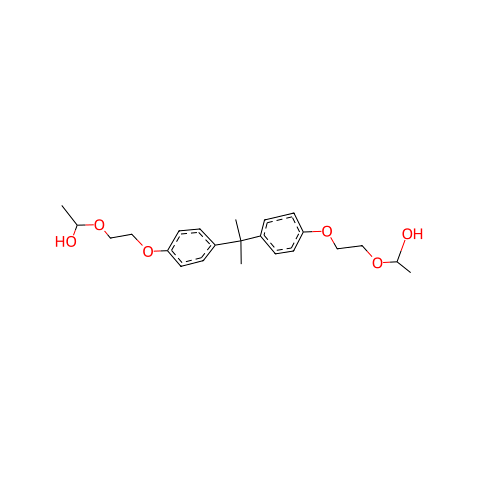 CC(O)OCCOc1ccc(C(C)(C)c2ccc(OCCOC(C)O)cc2)cc1